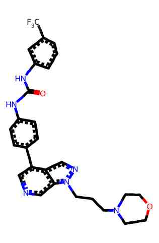 O=C(Nc1ccc(-c2cncc3c2cnn3CCCN2CCOCC2)cc1)Nc1cccc(C(F)(F)F)c1